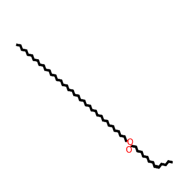 CCCC/C=C\CCCCCCCC(=O)OCCCCCCCCCCCCCCCCCCCCCCCCCCCCCCCCCCCCCCC